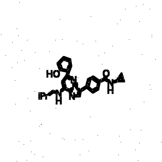 CC(C)CNc1cc(-c2ccccc2O)nn2c(-c3ccc(C(=O)NC4CC4)cc3)cnc12